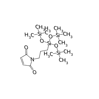 C[Si](C)(C)O[Si](CCCN1C(=O)C=CC1=O)(O[Si](C)(C)C)O[Si](C)(C)C